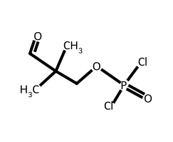 CC(C)(C=O)COP(=O)(Cl)Cl